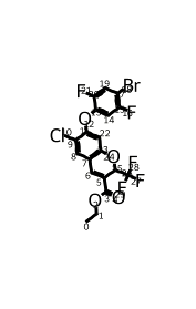 CCOC(=O)C1=Cc2cc(Cl)c(Oc3cc(F)c(Br)cc3F)cc2OC1C(F)(F)F